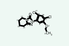 CCOc1cc(-n2nc3n(c2=O)CCCC3)c(Cl)cc1Cl